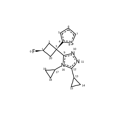 F[C@H]1C[C@](c2cccs2)(c2nnc(C3CC3)n2C2CC2)C1